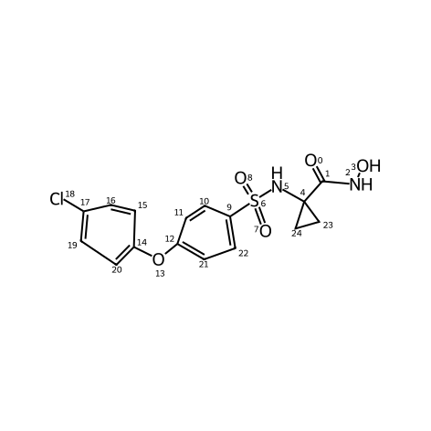 O=C(NO)C1(NS(=O)(=O)c2ccc(Oc3ccc(Cl)cc3)cc2)CC1